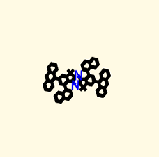 CC1(C)c2cc(-c3c4ccccc4cc4ccccc34)cc(-c3cccc4ccccc34)c2-c2nc3c(nc21)-c1c(-c2cccc4ccccc24)cc(-c2c4ccccc4cc4ccccc24)cc1C3(C)C